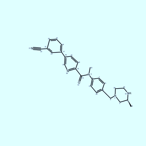 C[C@H]1CN(Cc2ccc(N(C)C(=O)c3ccc(-c4cccc(C#N)c4)cn3)cc2)CCN1